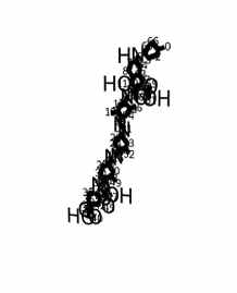 Cc1ccc(Nc2ccc3c(O)c(N=Nc4cc(C)c(N=Nc5ccc(N=Nc6ccc(N=Nc7ccc(S(=O)(=O)O)cc7S(=O)(=O)O)c(C)c6)c(C)c5)cc4C)c(S(=O)(=O)O)cc3c2)cc1